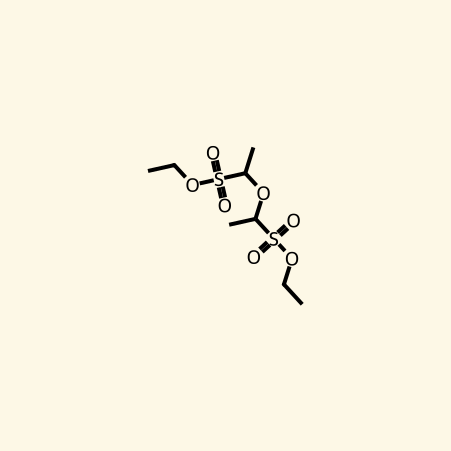 CCOS(=O)(=O)C(C)OC(C)S(=O)(=O)OCC